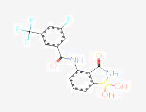 O=C(Nc1cccc2c1C(=O)NS2(O)O)c1cc(F)cc(C(F)(F)F)c1